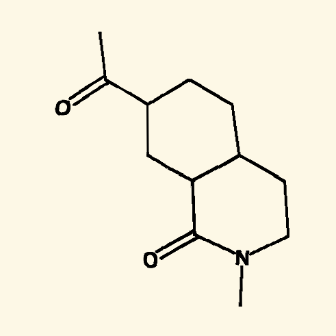 CC(=O)C1CCC2CCN(C)C(=O)C2C1